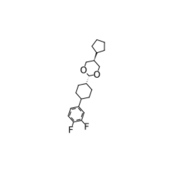 Fc1ccc(C2CCC([C@H]3OC[C@H](C4CCCC4)CO3)CC2)cc1F